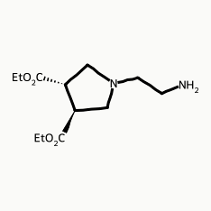 CCOC(=O)[C@@H]1CN(CCN)C[C@H]1C(=O)OCC